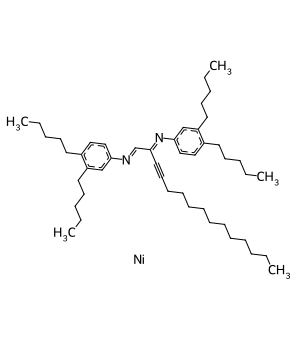 CCCCCCCCCCCC#CC(/C=N/c1ccc(CCCCC)c(CCCCC)c1)=N\c1ccc(CCCCC)c(CCCCC)c1.[Ni]